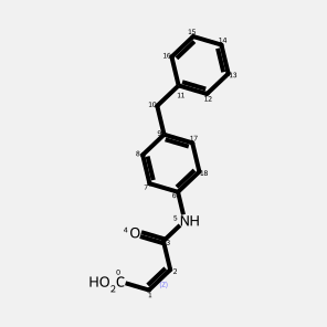 O=C(O)/C=C\C(=O)Nc1ccc(Cc2ccccc2)cc1